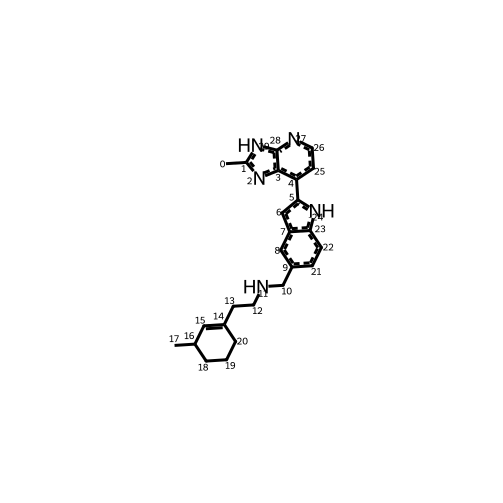 Cc1nc2c(-c3cc4cc(CNCCC5=CC(C)CCC5)ccc4[nH]3)ccnc2[nH]1